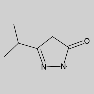 CC(C)C1=N[N]C(=O)C1